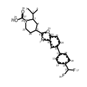 CC(C)C1CC(c2nc3cc(-c4ccc(C(F)F)cc4)ccc3o2)CCN1C(=O)O